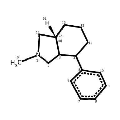 CN1CC2C(c3ccccc3)CCC[C@H]2C1